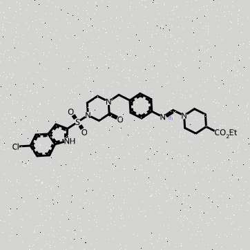 CCOC(=O)C1CCN(/C=N/c2ccc(CN3CCN(S(=O)(=O)c4cc5cc(Cl)ccc5[nH]4)CC3=O)cc2)CC1